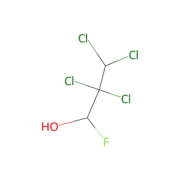 OC(F)C(Cl)(Cl)C(Cl)Cl